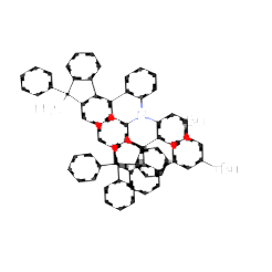 CC(C)(C)c1cc(-c2cccc3cccc(-c4ccccc4N(c4ccccc4-c4cccc5c4-c4ccccc4C5(C)c4ccccc4)c4cccc5c4-c4ccccc4C5(c4ccccc4)c4ccccc4)c23)cc(C(C)(C)C)c1